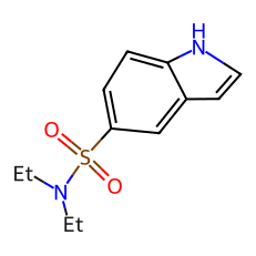 CCN(CC)S(=O)(=O)c1ccc2[nH]ccc2c1